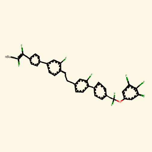 CCCC/C(F)=C(\F)c1ccc(-c2ccc(CCc3ccc(-c4ccc(C(F)(F)Oc5cc(F)c(F)c(F)c5)cc4)c(F)c3)c(F)c2)cc1